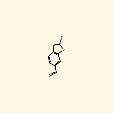 O=Cc1ccc2c(c1)OC(Cl)O2